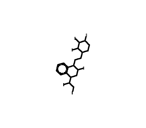 ICC(I)C1CC(I)C(CCC2CCC(I)C(I)C2I)c2ccccc21